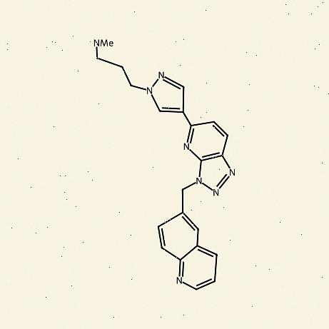 CNCCCn1cc(-c2ccc3nnn(Cc4ccc5ncccc5c4)c3n2)cn1